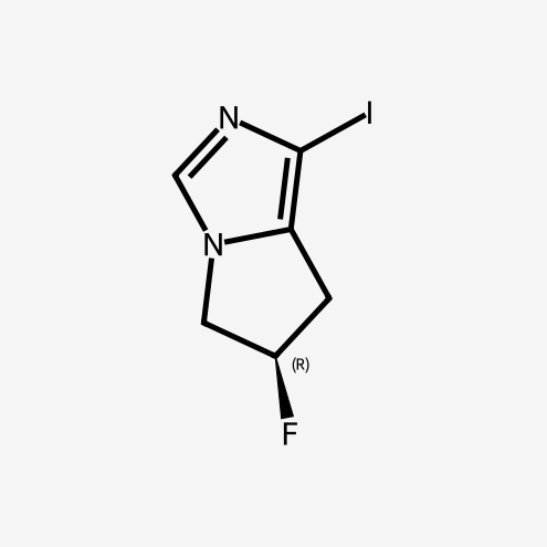 F[C@@H]1Cc2c(I)ncn2C1